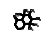 CC1=C(C)C(C)(C)C2C(=O)CCCC2C1(C)C